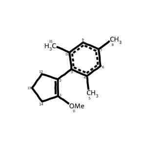 COC1=C(c2c(C)cc(C)cc2C)CCC1